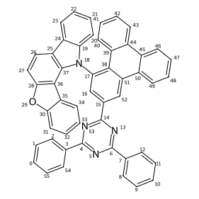 c1ccc(-c2nc(-c3ccccc3)nc(-c3cc(-n4c5ccccc5c5ccc6oc7ccccc7c6c54)c4c5ccccc5c5ccccc5c4c3)n2)cc1